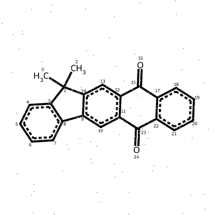 CC1(C)c2ccccc2-c2cc3c(cc21)C(=O)c1ccccc1C3=O